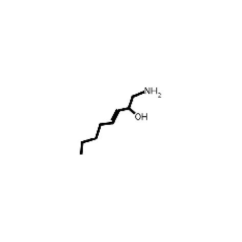 CCCCC=CC(O)CN